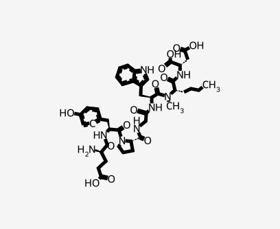 CCCC[C@@H](C(=O)N[C@@H](CC(=O)O)C(=O)O)N(C)C(=O)[C@H](Cc1c[nH]c2ccccc12)NC(=O)CNC(=O)[C@@H]1CCCN1C(=O)[C@H](Cc1ccc(O)cc1)NC(=O)[C@H](N)CCC(=O)O